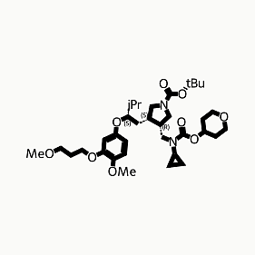 COCCCOc1cc(O[C@@H](C[C@@H]2CN(C(=O)OC(C)(C)C)C[C@@H]2CN(C(=O)OC2CCOCC2)C2CC2)C(C)C)ccc1OC